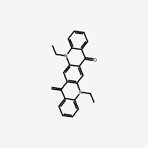 C=C1c2ccccc2N(CC)c2cc3c(=O)c4ccccc4n(CC)c3cc21